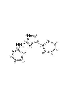 c1ccc(Nc2ncc(-c3ccccc3)o2)cc1